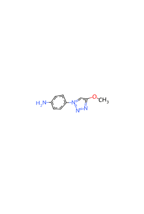 COc1cn(-c2ccc(N)cc2)nn1